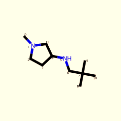 CN1CCC(NCC(C)(C)C)C1